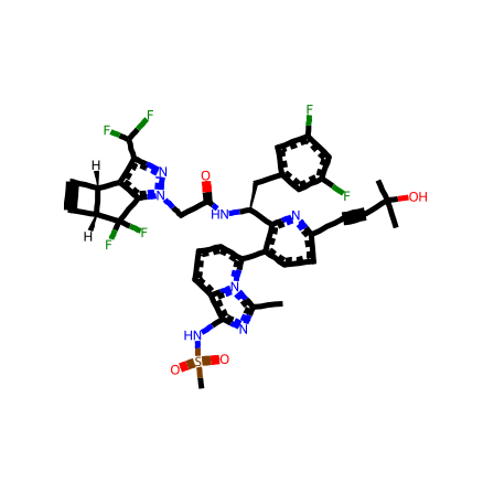 Cc1nc(NS(C)(=O)=O)c2cccc(-c3ccc(C#CC(C)(C)O)nc3[C@H](Cc3cc(F)cc(F)c3)NC(=O)Cn3nc(C(F)F)c4c3C(F)(F)[C@@H]3C#C[C@H]43)n12